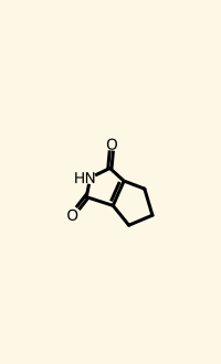 O=C1NC(=O)C2=C1CCC2